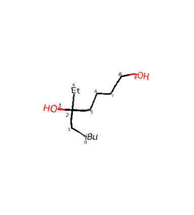 CCC(C)CC(O)(CC)CCCCO